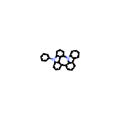 c1ccc(-n2c3cccc4c5cccc6c7ccccc7n(c7cccc2c7c43)c56)cc1